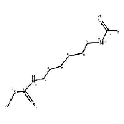 CSC(=S)NCCCCCCNC(C)=O